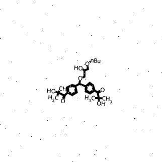 CCCCOCC(O)COC(c1ccc(C(=O)C(C)(C)O)cc1)c1ccc(C(=O)C(C)(C)O)cc1